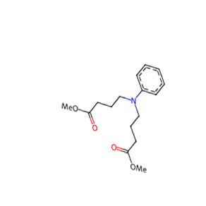 COC(=O)CCCN(CCCC(=O)OC)c1ccccc1